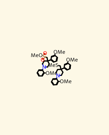 COc1cccc(C2(CS(=O)(=O)OC)CCN(c3ccccc3OC)CC2)c1.COc1cccc(C2(CSC)CCN(c3ccccc3OC)CC2)c1